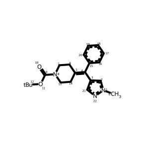 Cn1cc(C(=C2CCN(C(=O)OC(C)(C)C)CC2)c2ccccc2)cn1